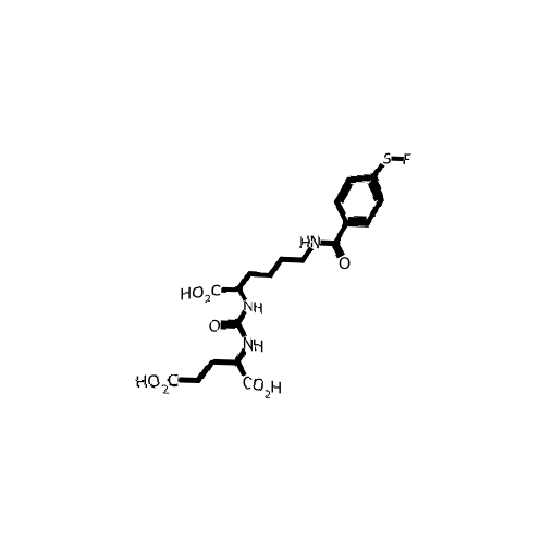 O=C(O)CCC(NC(=O)NC(CCCCNC(=O)c1ccc(SF)cc1)C(=O)O)C(=O)O